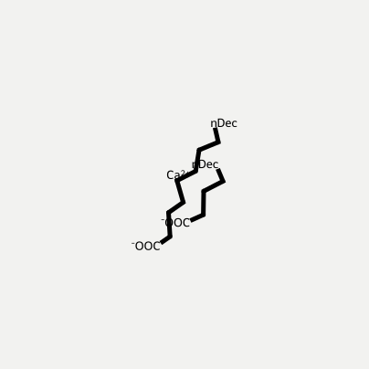 CCCCCCCCCCCCCC(=O)[O-].CCCCCCCCCCCCCCCCCC(=O)[O-].[Ca+2]